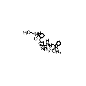 CC(C)c1[nH]c2ccccc2c1C=NNc1ncnc2sc(Cc3ccccc3C(=O)NCCO)cc12